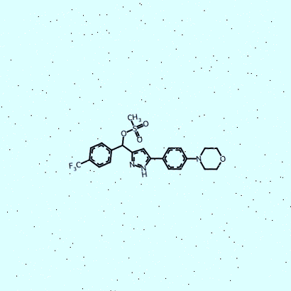 CS(=O)(=O)OC(c1ccc(C(F)(F)F)cc1)c1cc(-c2ccc(N3CCOCC3)cc2)[nH]n1